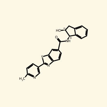 Cc1ccc(-c2nc3ccc(C(=O)N[C@@H]4c5ccccc5C[C@@H]4O)cc3s2)cn1